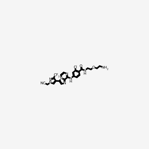 N#CCn1cc(-c2cnc3c(Nc4ccc(C(=O)NCCOCCN)c(Cl)c4)nccn23)c(C(F)(F)F)n1